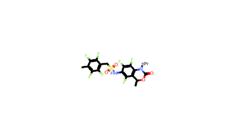 CCCN1C(=O)OC(C)c2c(F)c(NS(=O)(=O)Cc3c(F)c(F)c(C)c(F)c3F)c(F)c(F)c21